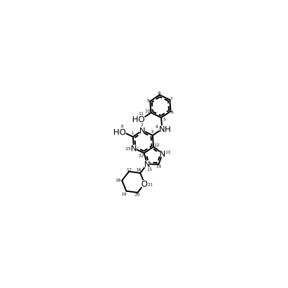 Oc1nc(Nc2ccccc2O)c2ncn(C3CCCCO3)c2n1